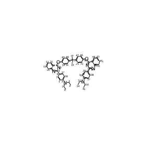 CCN(CC)c1ccc(-c2nc(Oc3ccc(C(C)(C)c4ccc(Oc5nc(-c6ccc(N(CC)CC)cc6)nc6ccccc56)cc4)cc3)c3ccccc3n2)cc1